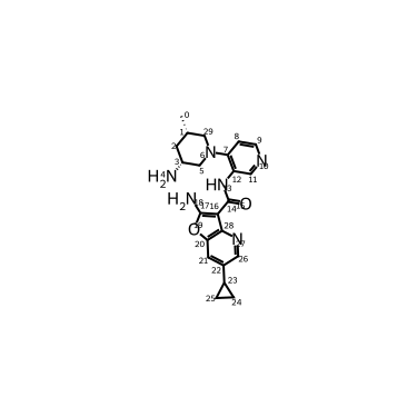 C[C@H]1C[C@@H](N)CN(c2ccncc2NC(=O)c2c(N)oc3cc(C4CC4)cnc23)C1